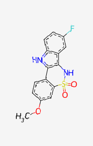 COc1ccc2c(c1)S(=O)(=O)Nc1c-2[nH]c2ccc(F)cc12